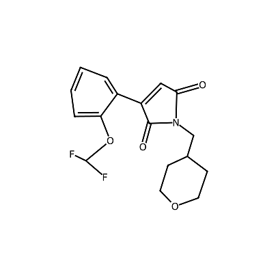 O=C1C=C(c2ccccc2OC(F)F)C(=O)N1CC1CCOCC1